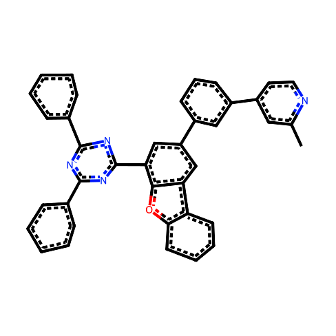 Cc1cc(-c2cccc(-c3cc(-c4nc(-c5ccccc5)nc(-c5ccccc5)n4)c4oc5ccccc5c4c3)c2)ccn1